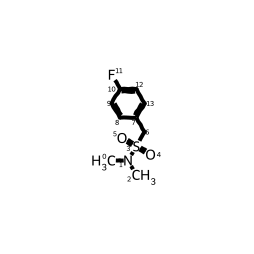 CN(C)S(=O)(=O)Cc1ccc(F)cc1